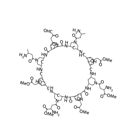 COC(=O)Cc1cc2c(O)c(c1)CNC1CC(CN(C(=O)CC(N)C(=O)OC)C1)NC(=O)c1cc(CC(=O)OC)cc(c1O)C(=O)NC1CC(CN(C(=O)CC(N)C(=O)OC)C1)NCc1cc(CC(=O)OC)cc(c1O)CNC1CC(CN(C(=O)CC(C)N)C1)NC(=O)c1cc(CC(=O)C=O)cc(c1O)C(=O)NC1CC(CN(C(=O)CC(C)N)C1)NC2